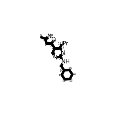 Cc1cc(-c2cnc(NCC3CCCCC3)nc2C(C)C)on1